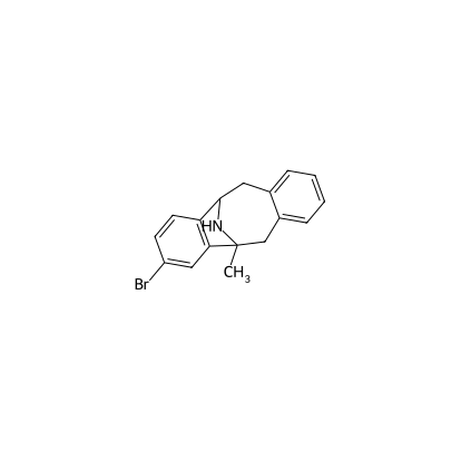 CC12Cc3ccccc3CC(N1)c1ccc(Br)cc12